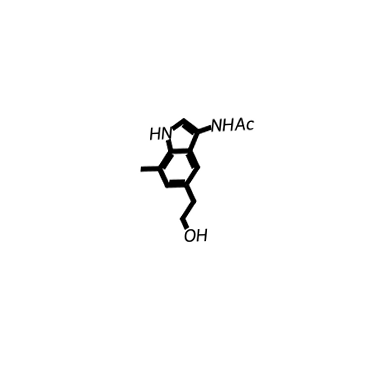 CC(=O)Nc1c[nH]c2c(C)cc(CCO)cc12